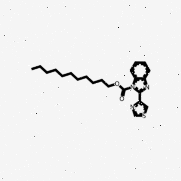 CCCCCCCCCCCOC(=O)n1c(-c2cscn2)nc2ccccc21